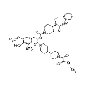 Bc1cc(C[C@@H](OC(=O)N2CCC(N3CCc4ccccc4NC3=O)CC2)C(=O)N2CCC(C3CCN(C(=O)C(=O)OCC)CC3)CC2)cc(C=C)c1O